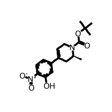 C[C@H]1CC(c2ccc([N+](=O)[O-])c(O)c2)=CCN1C(=O)OC(C)(C)C